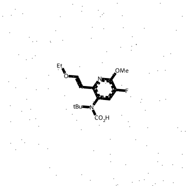 CCOC=Cc1nc(OC)c(F)cc1N(C(=O)O)C(C)(C)C